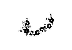 N#Cc1ccc(O[C@H]2CC[C@H](NC(=O)c3ccc(N4CCC(CN5CCN(c6cc(C(=O)NC7CCC(=O)NC7=O)c(C(=O)O)cc6F)CC5)CC4)nn3)CC2)cc1Cl